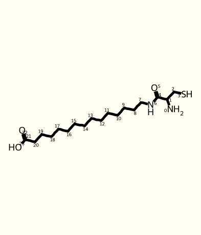 NC(CS)C(=O)NCCCCCCCCCCCCCCC(=O)O